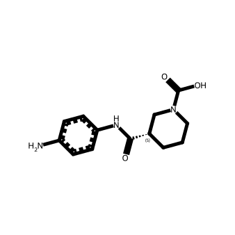 Nc1ccc(NC(=O)[C@H]2CCCN(C(=O)O)C2)cc1